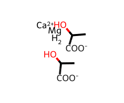 CC(O)C(=O)[O-].CC(O)C(=O)[O-].[Ca+2].[MgH2]